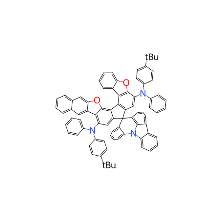 CC(C)(C)c1ccc(N(c2ccccc2)c2cc3c(c4c2oc2ccccc24)-c2c(cc(N(c4ccccc4)c4ccc(C(C)(C)C)cc4)c4c2oc2cc5ccccc5cc24)C32c3ccccc3-n3c4ccccc4c4cccc2c43)cc1